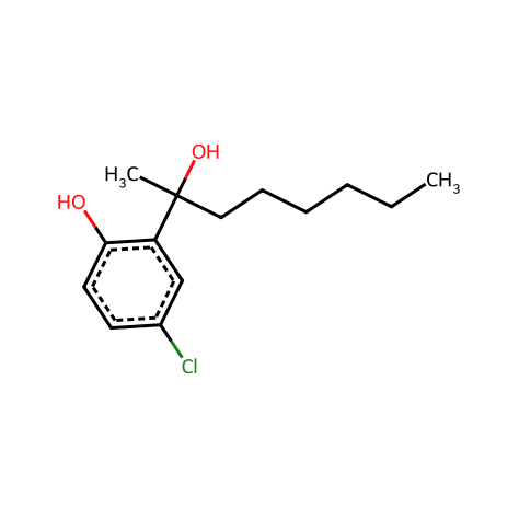 CCCCCCC(C)(O)c1cc(Cl)ccc1O